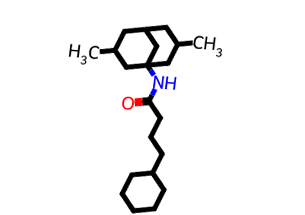 CC1CC2CC(C)CC(NC(=O)CCCC3CCCCC3)(C1)C2